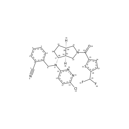 N#Cc1ccccc1CN(c1ccc(Cl)nn1)[C@@H]1CC[C@H]2CN(C(=O)c3ccc(C(F)F)s3)C[C@H]21